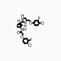 O=C(COc1ccc(Cl)c(F)c1)NC12CC(C1)[C@@H](C1NCC(COc3ccc(Cl)c(F)c3)N1)C2